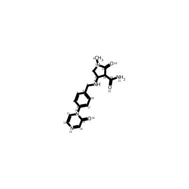 CN1CC(NCc2ccc(-n3ccncc3=O)cc2)C(C(N)=O)C1=O